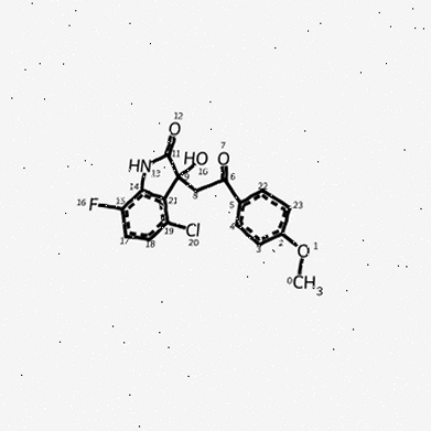 COc1ccc(C(=O)CC2(O)C(=O)Nc3c(F)ccc(Cl)c32)cc1